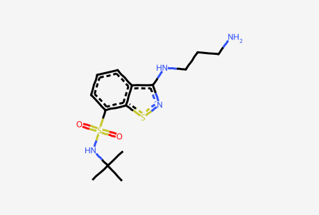 CC(C)(C)NS(=O)(=O)c1cccc2c(NCCCN)nsc12